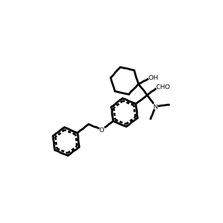 CN(C)C(C=O)(c1ccc(OCc2ccccc2)cc1)C1(O)CCCCC1